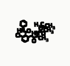 C[C@@H](NC(=O)OC(C)(C)C)C(=O)Cc1cccc(Cl)c1C(=O)Nc1ccccc1